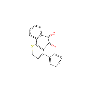 O=C1C(=O)c2ccccc2C2=C1C(C1=CCCC=C1)=CCS2